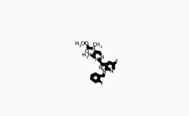 COC(=O)N(C)c1cnc(-c2nn(Cc3ccccc3F)c3ncc(F)cc23)nc1N